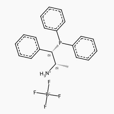 C[C@H]([NH3+])[C@H](c1ccccc1)P(c1ccccc1)c1ccccc1.F[B-](F)(F)F